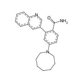 NC(=O)c1ccc(N2CCCCCCC2)cc1-c1cnc2ccccc2c1